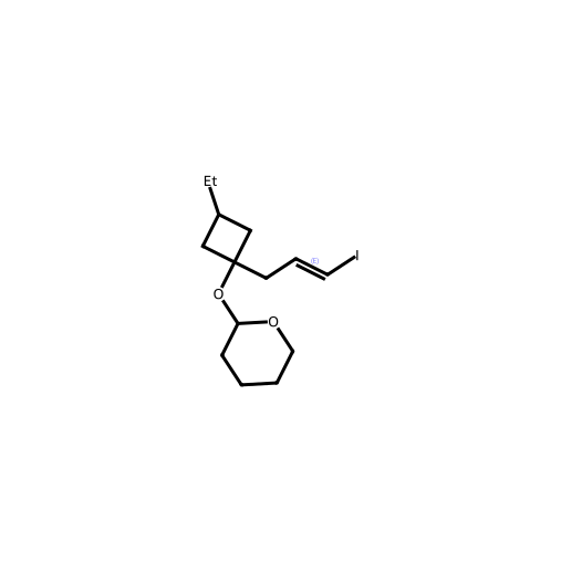 CCC1CC(C/C=C/I)(OC2CCCCO2)C1